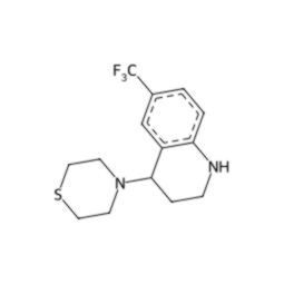 FC(F)(F)c1ccc2c(c1)C(N1CCSCC1)CCN2